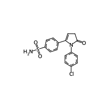 NS(=O)(=O)c1ccc(C2=CCC(=O)N2c2ccc(Cl)cc2)cc1